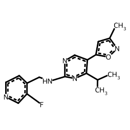 Cc1cc(-c2cnc(NCc3ccncc3F)nc2C(C)C)on1